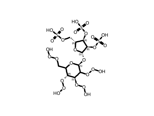 O=S(=O)(O)OC[C@H]1O[C@@H](O[C@@H]2OC(COOO)[C@@H](OOO)[C@H](OOO)C2OOO)[C@H](OS(=O)(=O)O)[C@@H]1OS(=O)(=O)O